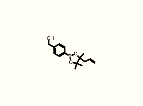 C=CCC1(C)OB(c2ccc(CO)cc2)OC1(C)C